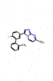 CC(C)(C)c1ccn2c(-c3ccc(F)c(-c4ccccc4C#N)c3)cnc2n1